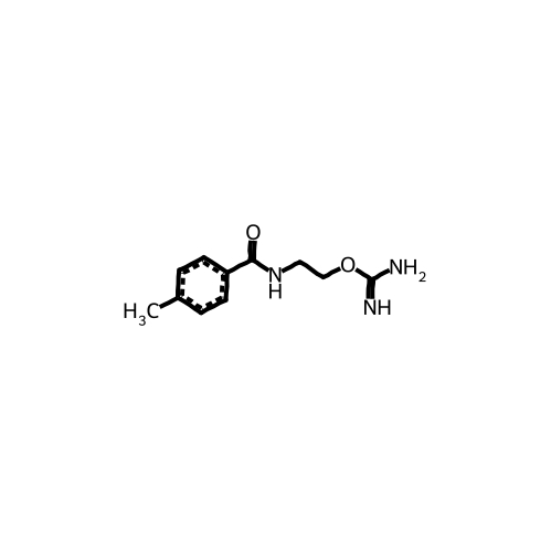 Cc1ccc(C(=O)NCCOC(=N)N)cc1